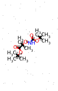 CC(C)(C)OC(=O)NOC(C)(C)C(=O)OC(C)(C)C